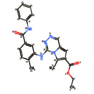 CCOC(=O)c1cc2cnnc(Nc3cc(C(=O)Nc4ccccc4)ccc3C)n2c1C